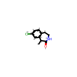 CC1C(=O)NCCc2ccc(Cl)cc21